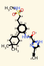 C#Cc1c[nH]c(C(=O)Nc2ccc(CCS(=O)(=O)NC)cc2C2=CCC(C)(C)CC2)n1